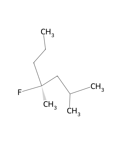 CCC[C@](C)(F)CC(C)C